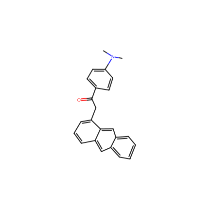 CN(C)c1ccc(C(=O)Cc2cccc3cc4ccccc4cc23)cc1